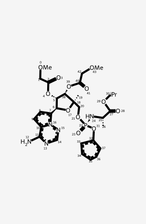 COCC(=O)O[C@H]1[C@H](c2ccc3c(N)ncnn23)O[C@](C)(CO[P@@](=O)(N[C@@H](C)C(=O)OC(C)C)Oc2ccccc2)[C@H]1OC(=O)COC